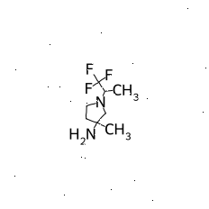 CC(N1CCC(C)(N)C1)C(F)(F)F